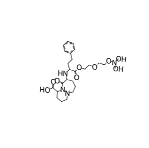 O=C(OCCOCCON(O)O)C(CCc1ccccc1)NC1CCCN2CCCC(C(=O)O)N2C1=O